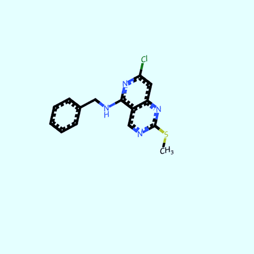 CSc1ncc2c(NCc3ccccc3)nc(Cl)cc2n1